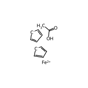 CC(=O)O.[Fe+2].c1cc[cH-]c1.c1cc[cH-]c1